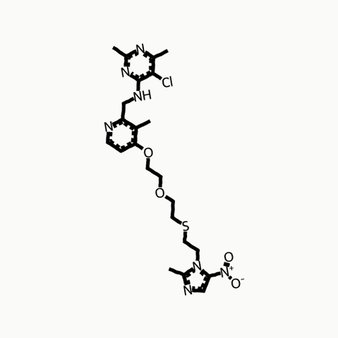 Cc1nc(C)c(Cl)c(NCc2nccc(OCCOCCSCCn3c([N+](=O)[O-])cnc3C)c2C)n1